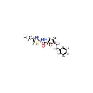 Cc1csc(NC(=O)c2ccc(CCc3ccccc3)o2)n1